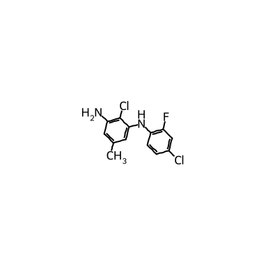 Cc1cc(N)c(Cl)c(Nc2ccc(Cl)cc2F)c1